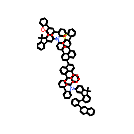 CC1(C)c2ccccc2-c2cc(N(c3ccc(-c4ccc(-c5ccc(-c6ccccc6)c6c(-c7ccc(N(c8ccc9c(c8)-c8c(-c%10ccccc%10-c%10ccc%11ccccc%11c%10)cccc8C9(C)C)c8ccccc8-c8ccccc8)c8ccccc78)cccc56)c5cccc(-c6ccc7sc8ccccc8c7c6)c45)cc3)c3ccccc3-c3ccc4oc5ccccc5c4c3)ccc21